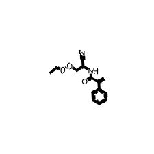 C=C(C(=O)NC(C#N)COOCC)c1ccccc1